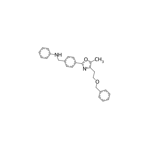 Cc1oc(-c2ccc(CNc3ccccc3)cc2)nc1CCOCc1ccccc1